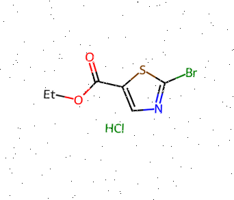 CCOC(=O)c1cnc(Br)s1.Cl